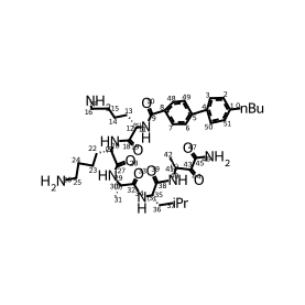 CCCCc1ccc(-c2ccc(C(=O)N[C@@H](CCCCN)C(=O)N[C@@H](CCCCN)C(=O)N[C@@H](C)C(=O)N[C@@H](CC(C)C)C(=O)N[C@@H](C)C(=O)C(N)=O)cc2)cc1